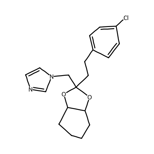 Clc1ccc(CCC2(Cn3ccnc3)OC3CCCCC3O2)cc1